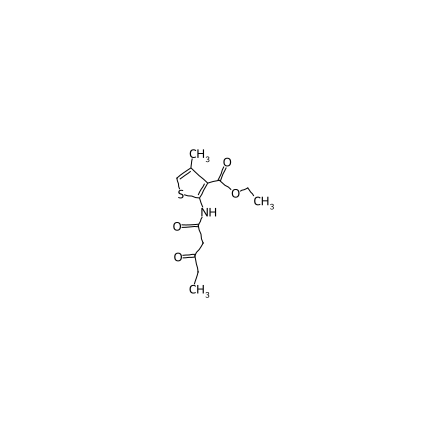 CCOC(=O)c1c(C)csc1NC(=O)CC(=O)CC